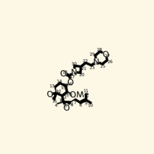 CO[C@H]1C([C@@]2(C)O[C@@H]2CC=C(C)C)[C@]2(CC[C@H]1OC(=O)N1CC(CCN3CCOCC3)C1)CO2